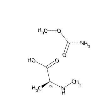 CN[C@@H](C)C(=O)O.COC(N)=O